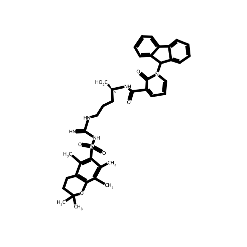 Cc1c(C)c(S(=O)(=O)NC(=N)NCCC[C@H](NC(=O)c2cccn(C3c4ccccc4-c4ccccc43)c2=O)C(=O)O)c(C)c2c1OC(C)(C)CC2